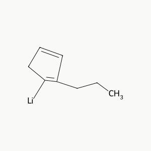 [Li][C]1=C(CCC)C=CC1